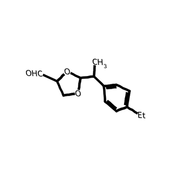 CCc1ccc(C(C)C2OCC(C=O)O2)cc1